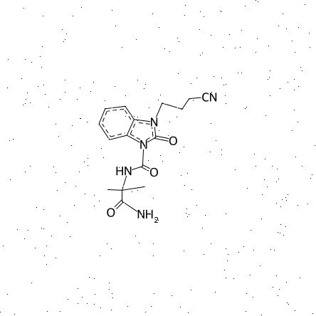 CC(C)(NC(=O)n1c(=O)n(CCCC#N)c2ccccc21)C(N)=O